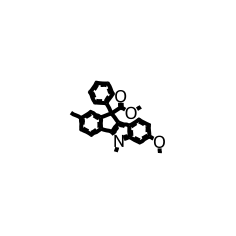 COC(=O)C1(c2ccccc2)c2cc(C)ccc2-c2c1c1ccc(OC)cc1n2C